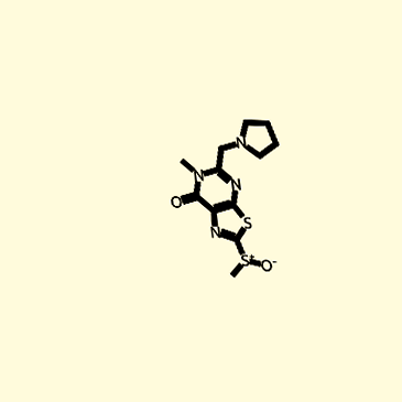 Cn1c(CN2CCCC2)nc2sc([S+](C)[O-])nc2c1=O